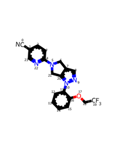 N#Cc1ccc(N2Cc3cnn(-c4ccccc4OCC(F)(F)F)c3C2)nc1